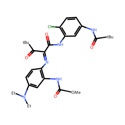 CCN(CC)c1ccc(/N=C(/C(=O)Nc2cc(NC(=O)C(C)(C)C)ccc2Cl)C(=O)C(C)(C)C)c(NC(=O)OC)c1